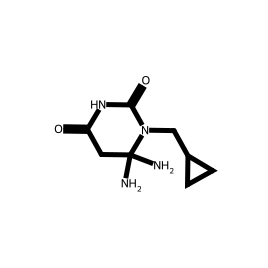 NC1(N)CC(=O)NC(=O)N1CC1CC1